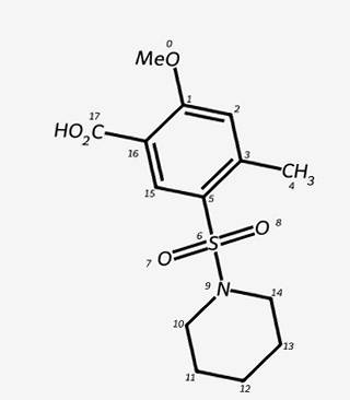 COc1cc(C)c(S(=O)(=O)N2CCCCC2)cc1C(=O)O